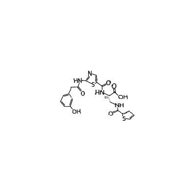 O=C(Cc1cccc(O)c1)Nc1ncc(C(=O)N[C@@H](CNC(=O)c2cccs2)C(=O)O)s1